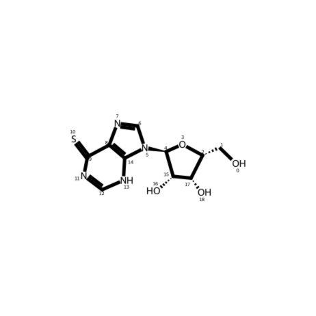 OC[C@H]1O[C@H](n2cnc3c(=S)nc[nH]c32)[C@@H](O)[C@H]1O